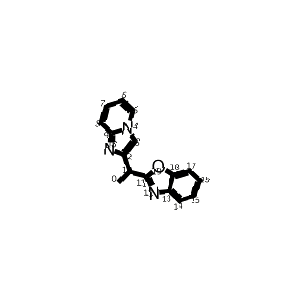 CC(c1cn2ccccc2n1)c1nc2ccccc2o1